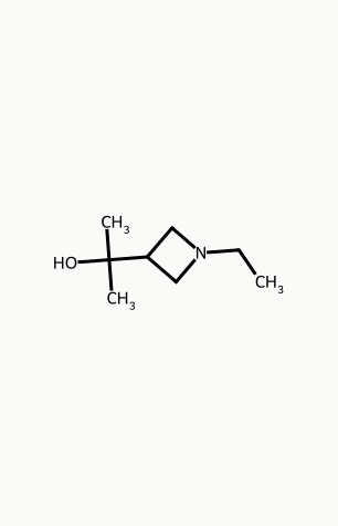 CCN1CC(C(C)(C)O)C1